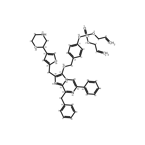 C=CCOP(=O)(OCC=C)Oc1ccc(COc2c(Cc3cc(C4CNCCO4)co3)nc3c(Cc4ccccc4)nc(-c4ccccc4)cn23)cc1